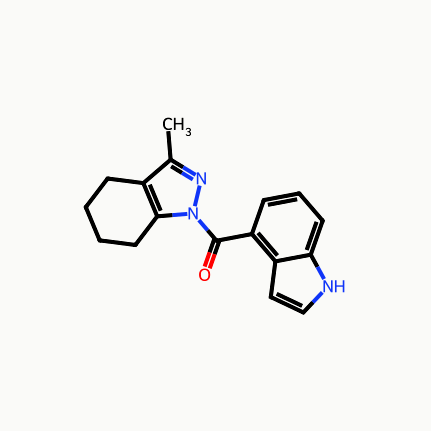 Cc1nn(C(=O)c2cccc3[nH]ccc23)c2c1CCCC2